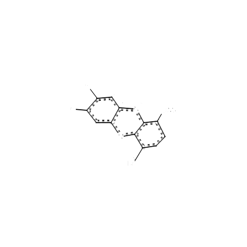 COc1ccc(Br)c2nc3cc(Br)c(Br)cc3nc12